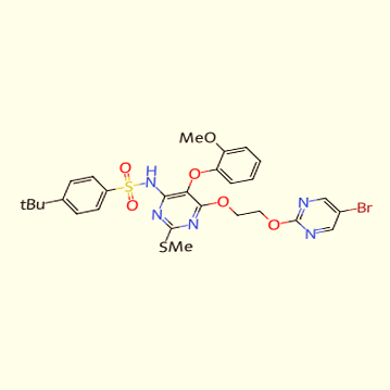 COc1ccccc1Oc1c(NS(=O)(=O)c2ccc(C(C)(C)C)cc2)nc(SC)nc1OCCOc1ncc(Br)cn1